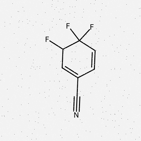 N#CC1=CC(F)C(F)(F)C=C1